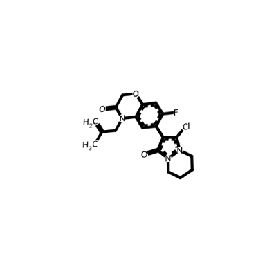 C=C(C)CN1C(=O)COc2cc(F)c(-c3c(Cl)n4n(c3=O)CCCC4)cc21